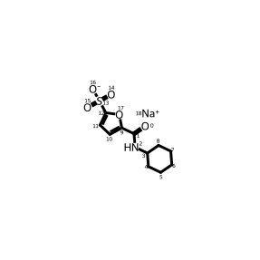 O=C(NC1CCCCC1)c1ccc(S(=O)(=O)[O-])o1.[Na+]